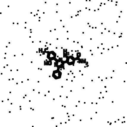 Cc1ccc(-c2nc(-c3ccccc3)nc(-c3ccc(C(N)=O)cc3N)n2)c(O)c1